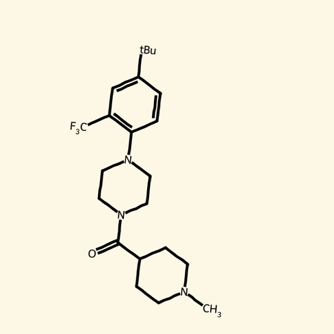 CN1CCC(C(=O)N2CCN(c3ccc(C(C)(C)C)cc3C(F)(F)F)CC2)CC1